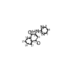 O=C1C=C(Nc2ncccn2)C(=O)c2ccccc21